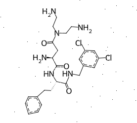 NCCN(CCN)C(=O)C[C@H](N)C(=O)N[C@@H](CCc1ccccc1)C(=O)NCc1cc(Cl)cc(Cl)c1